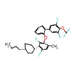 CCCC[C@H]1CC[C@H](c2c(F)cc(C)c(Oc3ccccc3-c3cc(F)c(OC(F)F)c(F)c3)c2F)CC1